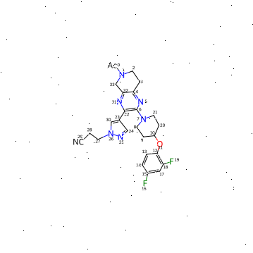 CC(=O)N1CCc2nc(N3CCC(Oc4ccc(F)cc4F)CC3)c(-c3cnn(CCC#N)c3)nc2C1